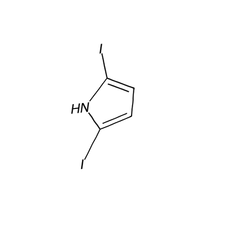 Ic1ccc(I)[nH]1